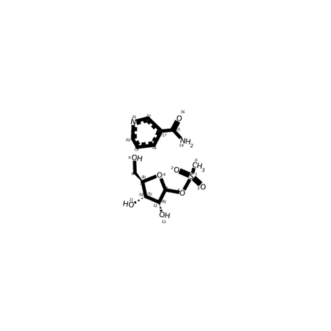 CS(=O)(=O)OC1O[C@H](CO)[C@@H](O)[C@H]1O.NC(=O)c1cccnc1